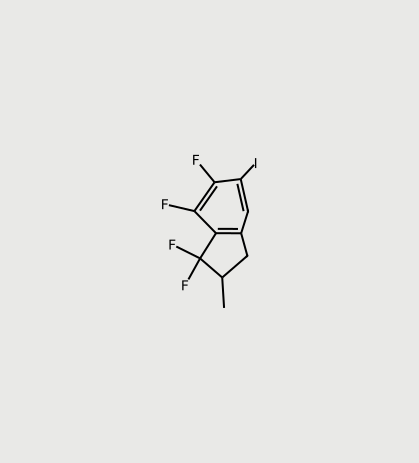 CC1Cc2cc(I)c(F)c(F)c2C1(F)F